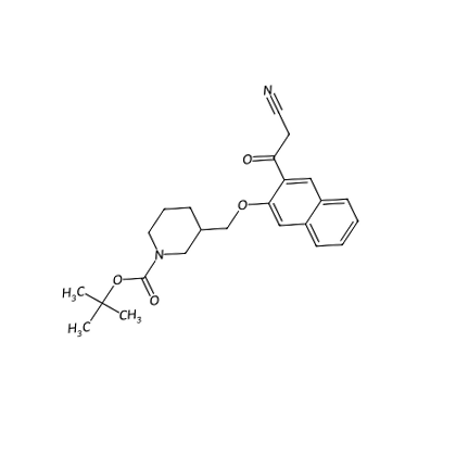 CC(C)(C)OC(=O)N1CCCC(COc2cc3ccccc3cc2C(=O)CC#N)C1